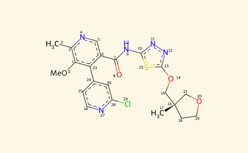 COc1c(C)ncc(C(=O)Nc2nnc(OC[C@@]3(C)CCOC3)s2)c1-c1ccnc(Cl)c1